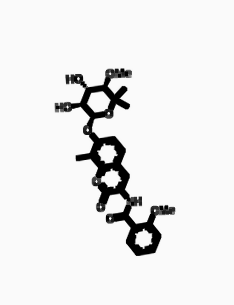 COc1ccccc1C(=O)Nc1cc2ccc(O[C@@H]3OC(C)(C)[C@H](OC)[C@@H](O)[C@@H]3O)c(C)c2oc1=O